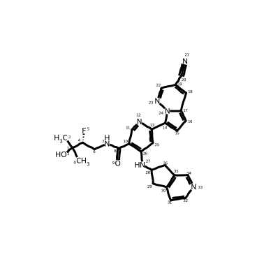 CC(C)(O)[C@H](F)CNC(=O)c1cnc(-c2ccc3cc(C#N)cnn23)cc1NC1Cc2ccncc2C1